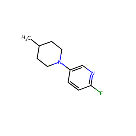 CC1CCN(c2ccc(F)nc2)CC1